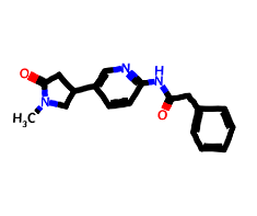 CN1CC(c2ccc(NC(=O)Cc3ccccc3)nc2)CC1=O